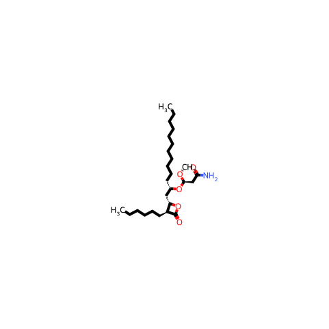 CCCCCCCCCCC[C@@H](C[C@@H]1OC(=O)[C@H]1CCCCCC)O[C@H](CC(N)=O)OC